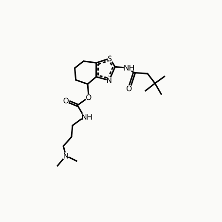 CN(C)CCCNC(=O)OC1CCCc2sc(NC(=O)CC(C)(C)C)nc21